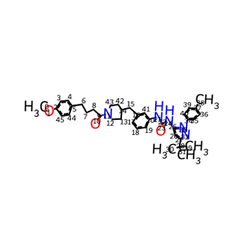 COc1ccc(CCCC(=O)N2CCC(Cc3cccc(NC(=O)Nc4cc(C(C)(C)C)nn4-c4ccc(C)cc4)c3)CC2)cc1